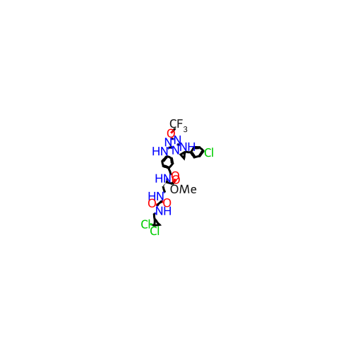 COC(=O)[C@H](CCNC(=O)C(=O)NCC1CC1(Cl)Cl)NC(=O)c1ccc(Nc2nc(NC3(c4ccc(Cl)cc4)CC3)nc(OCC(F)(F)F)n2)cc1